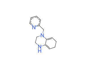 C1=C2NCCN(Cc3ccccn3)C2=CCC1